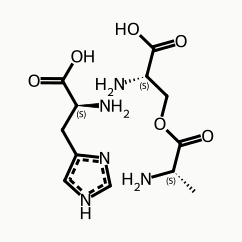 C[C@H](N)C(=O)OC[C@H](N)C(=O)O.N[C@@H](Cc1c[nH]cn1)C(=O)O